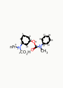 CCCN(C(=O)O)c1cccc(OC(=O)N(C)c2ccccc2)c1